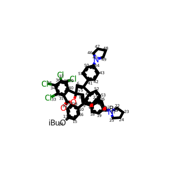 CC(C)COc1ccc(/C(=C\C2(/C=C(\c3ccc(OCC(C)C)cc3)c3ccc(N4CCCC4)cc3)OC(=O)c3c(Cl)c(Cl)c(Cl)c(Cl)c32)c2ccc(N3CCCC3)cc2)cc1